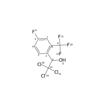 OC(c1ccc(F)cc1C(F)(F)F)C(Cl)(Cl)Cl